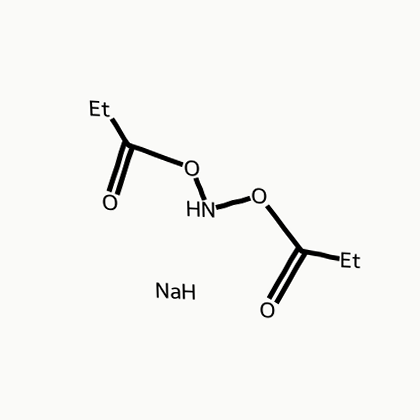 CCC(=O)ONOC(=O)CC.[NaH]